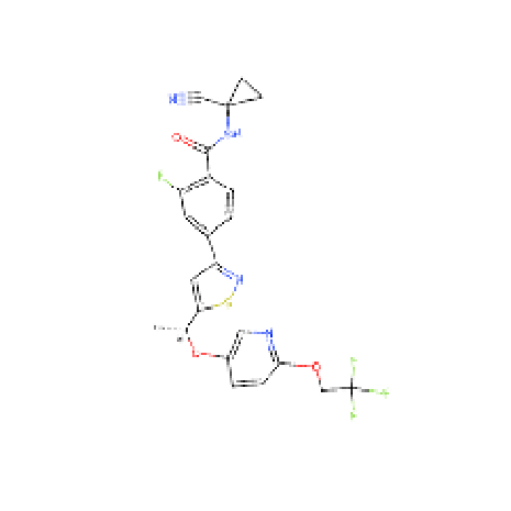 C[C@@H](Oc1ccc(OCC(F)(F)F)nc1)c1cc(-c2ccc(C(=O)NC3(C#N)CC3)c(F)c2)ns1